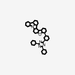 c1ccc(-c2nc(-c3ccccc3)nc(-c3cccc(-c4cccc5c4oc4ccc6c(c7cccc8c9ccccc9n6c87)c45)c3)n2)cc1